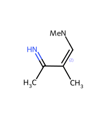 CN/C=C(/C)C(C)=N